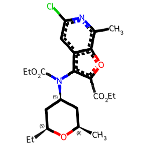 CCOC(=O)c1oc2c(C)nc(Cl)cc2c1N(C(=O)OCC)[C@@H]1C[C@H](CC)O[C@H](C)C1